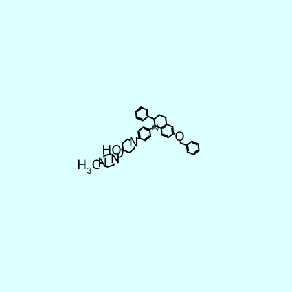 CN1CCN(CC2(O)CCN(c3ccc([C@@H]4c5ccc(OCc6ccccc6)cc5CCC4c4ccccc4)cc3)CC2)CC1